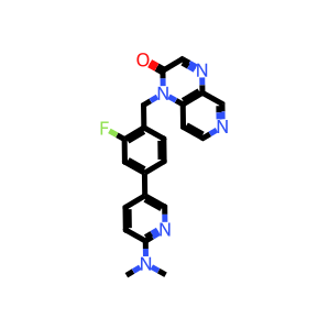 CN(C)c1ccc(-c2ccc(Cn3c(=O)cnc4cnccc43)c(F)c2)cn1